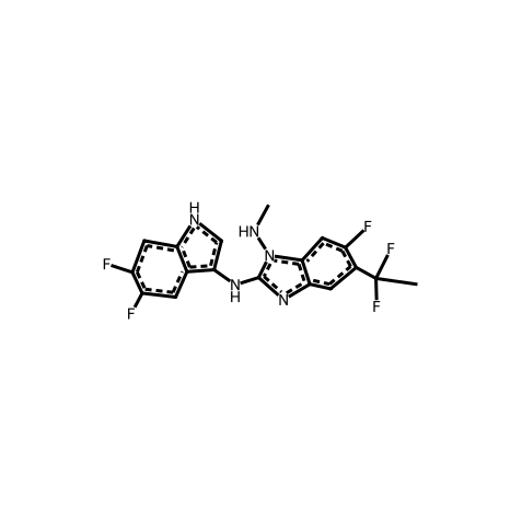 CNn1c(Nc2c[nH]c3cc(F)c(F)cc23)nc2cc(C(C)(F)F)c(F)cc21